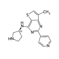 Cc1csc2c(N[C@H]3CCNC3)nc(-c3ccncc3)nc12